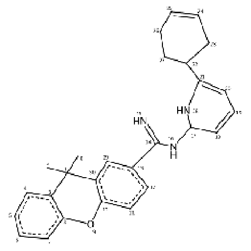 CC1(C)c2ccccc2Oc2ccc(C(=N)NC3C=CC=C(C4CC=CCC4)N3)cc21